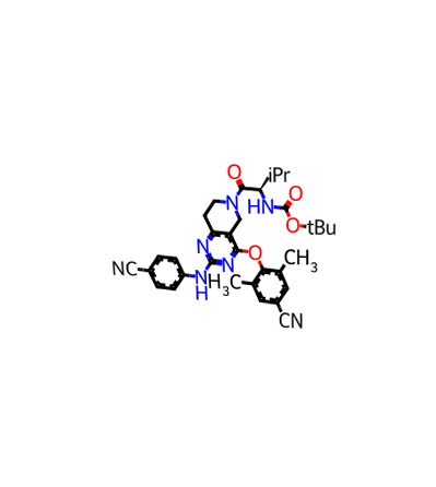 Cc1cc(C#N)cc(C)c1Oc1nc(Nc2ccc(C#N)cc2)nc2c1CN(C(=O)[C@H](NC(=O)OC(C)(C)C)C(C)C)CC2